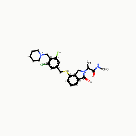 CCCC(C(=O)NC=O)N1Cc2c(SCc3cc(F)c(CN4CCCCC4)c(Cl)c3)cccc2C1=O